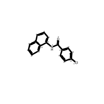 O=C(Nc1cccc2ccccc12)c1ccc(Cl)cc1